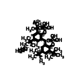 CC(C)(C)c1cc(Cc2cc(C(C)(C)C)cc(C(C)(C)C)c2OP(=O)(O)O)c(OP(=O)(O)O)c(C(C)(C)C)c1.[Al+3].[OH-].[OH-].[OH-]